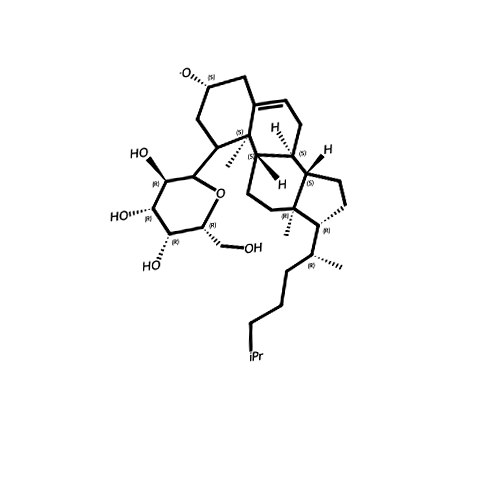 CC(C)CCC[C@@H](C)[C@H]1CC[C@H]2[C@@H]3CC=C4C[C@@H]([O])CC(C5O[C@H](CO)[C@H](O)[C@H](O)[C@H]5O)[C@]4(C)[C@H]3CC[C@]12C